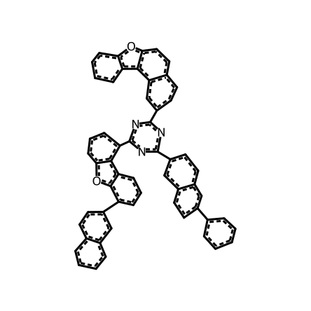 c1ccc(-c2ccc3cc(-c4nc(-c5ccc6ccc7oc8ccccc8c7c6c5)nc(-c5cccc6oc7c(-c8ccc9ccccc9c8)cccc7c56)n4)ccc3c2)cc1